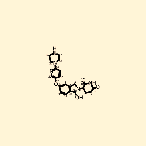 O=C1CCC(N2Cc3cc(Oc4ccc(N5CCNCC5)nc4)ccc3C2O)C(=O)N1